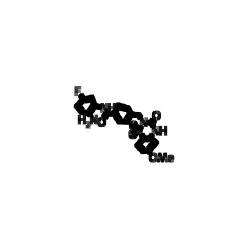 COc1ccc2c(c1)NC(=O)N(Cc1ccc(C(=O)Nc3cc(F)ccc3N)cc1)S2(=O)=O